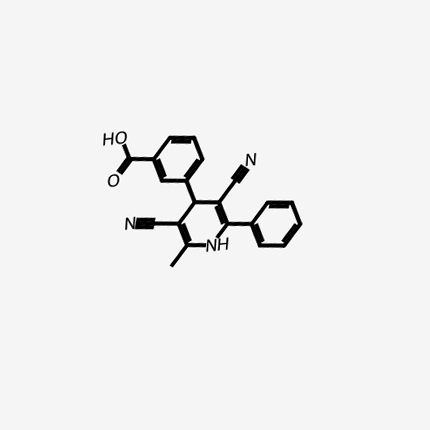 CC1=C(C#N)C(c2cccc(C(=O)O)c2)C(C#N)=C(c2ccccc2)N1